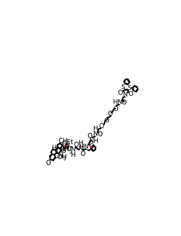 CCC(=O)O[C@]1(C(=O)COCNC(=O)CNC(=O)[C@H](Cc2ccccc2)NC(=O)CNC(=O)CNC(=O)CCOCCOCCOCCOCCNC(=O)CCN2C(=O)C(Sc3ccccc3)=C(Sc3ccccc3)C2=O)[C@@H](C)CC2[C@@H]3CCC4=CC(=O)C=C[C@]4(C)[C@@]3(Cl)[C@@H](O)C[C@@]21C